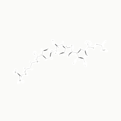 C[C@H](N)CC[C@H](N)c1cc(Cl)c(F)c(-c2cc3cn(-c4ccc([C@H](C)NCCCNC(=N)N)cc4)c(=O)nc3[nH]2)c1